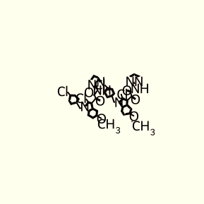 CCOc1ccc2c(c1)c(C(=O)C(=O)Nc1ncccn1)c(Cl)n2Cc1ccc(Cl)cc1.COc1ccc2c(c1)c(C(=O)C(=O)Nc1ncccn1)c(Cl)n2Cc1ccc(Cl)cc1